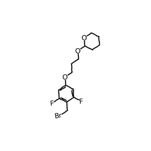 Fc1cc(OCCCOC2CCCCO2)cc(F)c1CBr